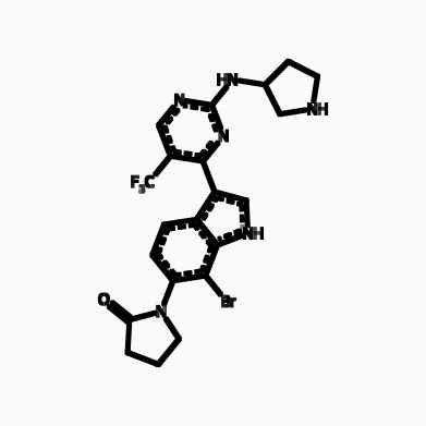 O=C1CCCN1c1ccc2c(-c3nc(NC4CCNC4)ncc3C(F)(F)F)c[nH]c2c1Br